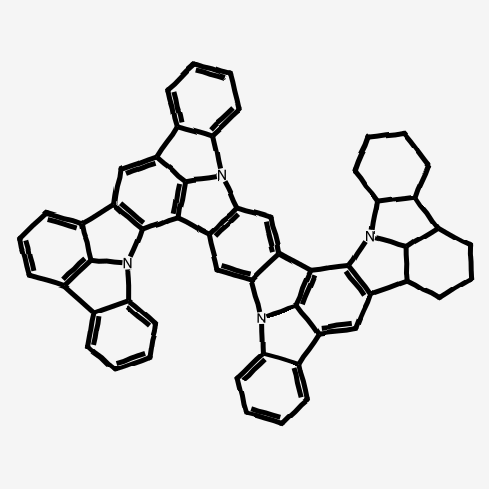 c1ccc2c(c1)c1cc3c(c4c5cc6c(cc5n2c14)c1c2c(cc4c5cccc7c8ccccc8n(c75)c41)c1ccccc1n62)N1C2CCCCC2C2CCCC3C21